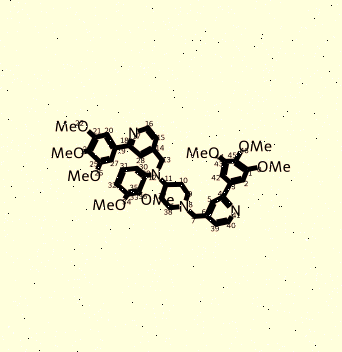 COc1cc(-c2cc(CN3CCC(N(Cc4ccnc(-c5cc(OC)c(OC)c(OC)c5)c4)c4cccc(OC)c4OC)CC3)ccn2)cc(OC)c1OC